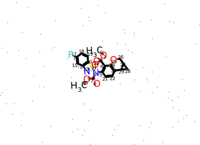 COC(=O)c1c(N(C(=O)OC)S2(=O)=Nc3cc(F)ccc32)ccc2c1OCC1CC21